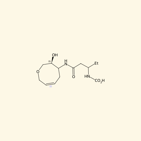 CCC(CC(=O)NC1C/C=C\COC[C@H]1O)NC(=O)O